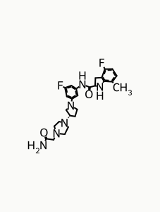 Cc1ccc(F)c2c1NC(C(=O)Nc1cc(F)cc(N3CC[C@H](N4CCN(CC(N)=O)CC4)C3)c1)C2